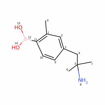 Cc1cc(CC(C)(C)N)ccc1B(O)O